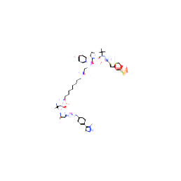 CC1=C(c2ccc(CNC(=O)[C@@H]3C[C@@H](O)CN3C(=O)C(NC(=O)CCCCCCCCNC(=O)CCN(C(=O)C3CCCN3C(=O)C(NC(=O)c3cc4cc(C(F)(F)P(=O)(O)O)ccc4s3)C(C)(C)C)c3ccc(Br)cc3)C(C)(C)C)cc2)CC=N1